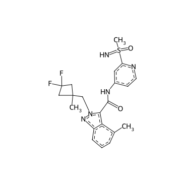 Cc1cccc2nn(CC3(C)CC(F)(F)C3)c(C(=O)Nc3ccnc(S(C)(=N)=O)c3)c12